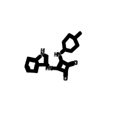 CC1CCC(Nc2c(Nc3c[nH]c4ccccc34)c(=O)c2=O)CC1